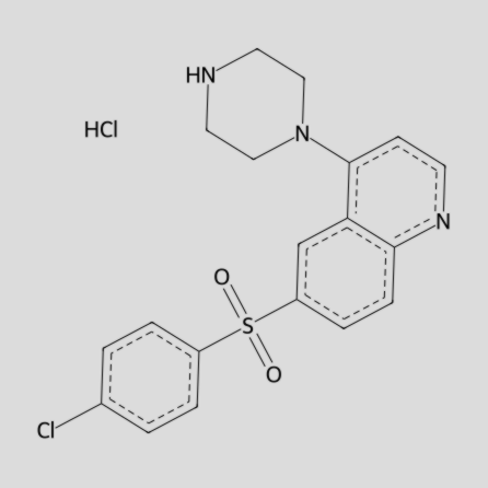 Cl.O=S(=O)(c1ccc(Cl)cc1)c1ccc2nccc(N3CCNCC3)c2c1